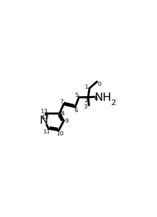 CCC(C)(N)CC=Cc1cccnc1